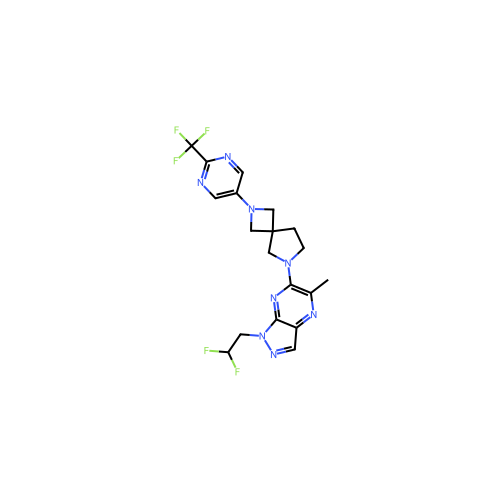 Cc1nc2cnn(CC(F)F)c2nc1N1CCC2(CN(c3cnc(C(F)(F)F)nc3)C2)C1